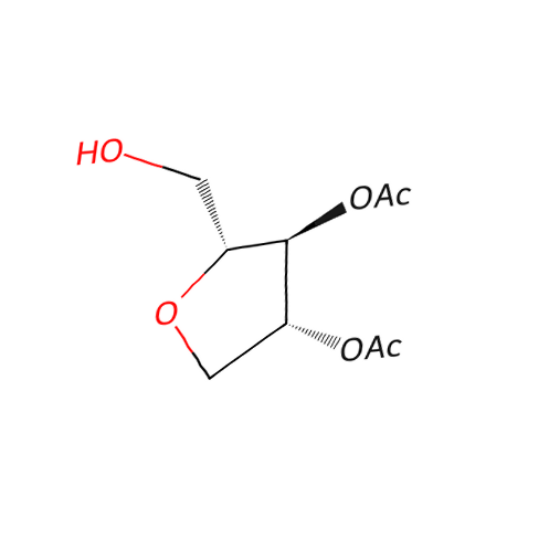 CC(=O)O[C@@H]1[C@@H](CO)OC[C@H]1OC(C)=O